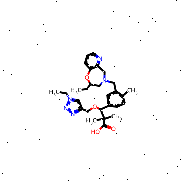 CCC1CN(Cc2cc(C(OCc3cn(CC)nn3)C(C)(C)C(=O)O)ccc2C)Cc2ncccc2O1